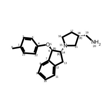 Cc1ccc(O[C@@H]2c3ccccc3C[C@H]2N2CC[C@H](CN)C2)cc1